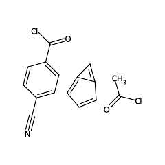 CC(=O)Cl.N#Cc1ccc(C(=O)Cl)cc1.c1cc2cc-2c1